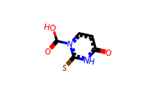 O=C(O)n1ccc(=O)[nH]c1=S